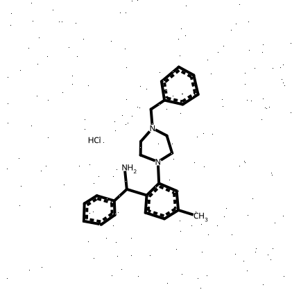 Cc1ccc(C(N)c2ccccc2)c(N2CCN(Cc3ccccc3)CC2)c1.Cl